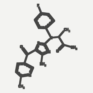 Cc1ccc(C(=O)c2sc(N(c3ccc(F)cc3)C(C)C(N)=O)nc2N)cn1